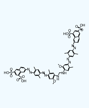 COc1cc(N=Nc2cc(C)c(N=Nc3ccc4cc(S(=O)(=O)O)cc(S(=O)(=O)O)c4c3)cc2C)c(C)cc1NCNc1cc(C)c(N=Nc2cc(C)c(N=Nc3ccc4cc(S(=O)(=O)O)cc(S(=O)(=O)O)c4c3)cc2C)cc1OC